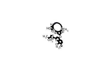 COc1ccc2c(O[C@@H]3C[C@H]4C(=O)N[C@]5(C(=O)O)C[C@H]5/C=C\CCCCN(C)C(=O)[C@@H]4C3)cc(C3=NC(C(C)C)CS3)nc2c1Cl